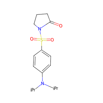 CC(C)N(c1ccc(S(=O)(=O)N2CCCC2=O)cc1)C(C)C